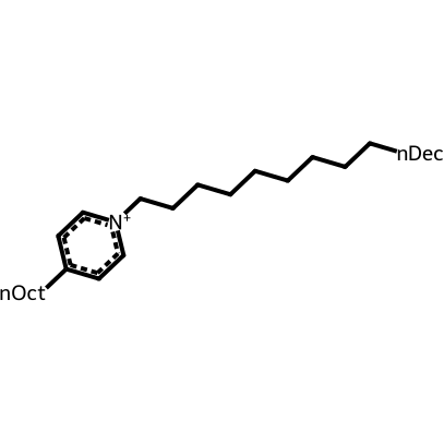 CCCCCCCCCCCCCCCCCCC[n+]1ccc(CCCCCCCC)cc1